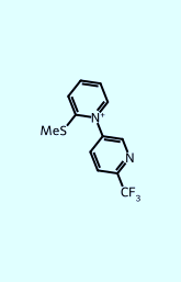 CSc1cccc[n+]1-c1ccc(C(F)(F)F)nc1